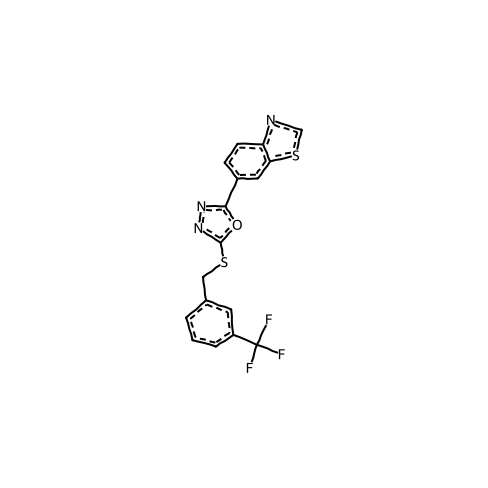 FC(F)(F)c1cccc(CSc2nnc(-c3ccc4ncsc4c3)o2)c1